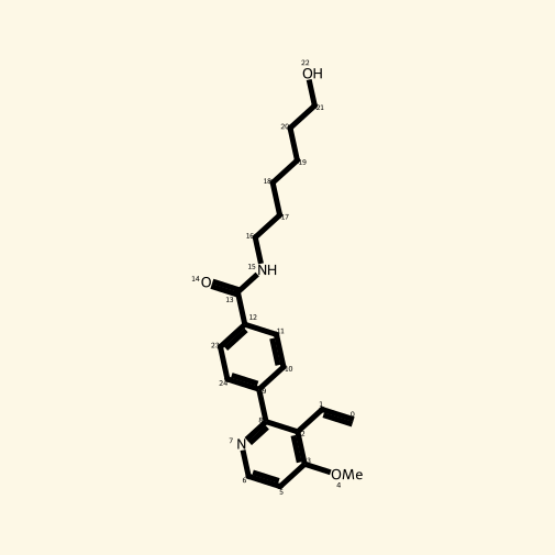 C=Cc1c(OC)ccnc1-c1ccc(C(=O)NCCCCCCO)cc1